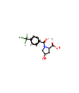 O=C(O)C1CC(O)CN1C(=O)c1ccc(C(F)(F)F)cc1